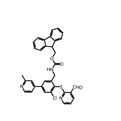 Cc1cc(-c2cc(Cl)c(Sc3ncccc3C=O)c(CNC(=O)OCC3c4ccccc4-c4ccccc43)c2)ccn1